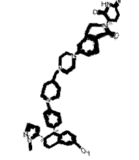 Cn1nccc1[C@H]1CCc2cc(O)ccc2[C@H]1c1ccc(N2CCC(CN3CCN(c4ccc5c(c4)CN([C@H]4CCC(=O)NC4=O)C5=O)CC3)CC2)cc1